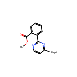 CCCCCCCc1ccnc(-c2ccccc2C(=O)OC(C)CC)n1